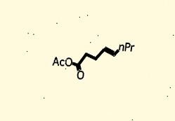 CCCC=CCCC(=O)OC(C)=O